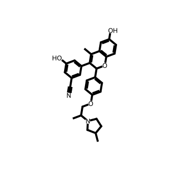 CC1=C(c2cc(O)cc(C#N)c2)C(c2ccc(OCC(C)N3CCC(C)C3)cc2)Oc2ccc(O)cc21